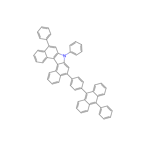 c1ccc(-c2c3ccccc3c(-c3ccc(-c4cc5c(c6ccccc46)c4c6ccccc6c(-c6ccccc6)cc4n5-c4ccccc4)cc3)c3ccccc23)cc1